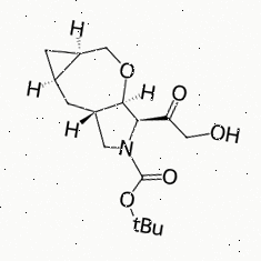 CC(C)(C)OC(=O)N1C[C@@H]2C[C@H]3C[C@H]3CO[C@H]2[C@H]1C(=O)CO